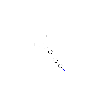 CCCCC[Si@]1(C)CC[C@@H](c2ccc(CCc3ccc(-c4ccc(C#N)cc4)cc3)cc2)CC1